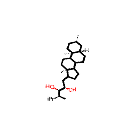 CC(C)[C@H](C)[C@@H](O)[C@H](O)CC1CCC2C3CC[C@H]4C[C@@H](C)CC[C@]4(C)C3CC[C@]12C